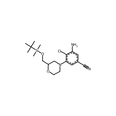 CC(C)(C)[Si](C)(C)OCC1CN(c2cc(C#N)cc(N)c2Cl)CCO1